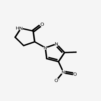 Cc1nn(C2CCNC2=O)cc1[N+](=O)[O-]